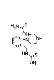 C1CNCCN1.NC(O)=S.OC(=S)NCc1ccccc1